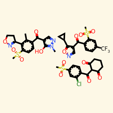 CS(=O)(=O)c1cc(C(F)(F)F)ccc1C(=O)c1cnoc1C1CC1.CS(=O)(=O)c1ccc(C(=O)C2C(=O)CCCC2=O)c(Cl)c1.Cc1c(C(=O)c2cnn(C)c2O)ccc(S(C)(=O)=O)c1C1=NOCC1